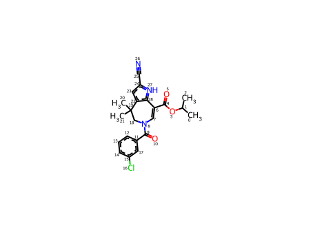 CC(C)OC(=O)C1=CN(C(=O)c2cccc(Cl)c2)CC(C)(C)c2cc(C#N)[nH]c21